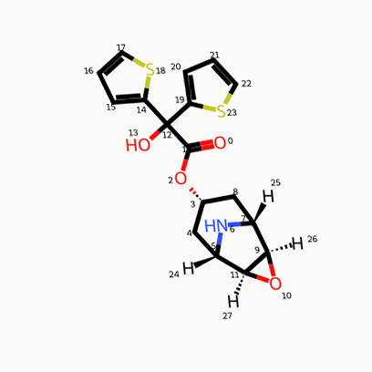 O=C(O[C@H]1C[C@@H]2N[C@H](C1)[C@H]1O[C@H]12)C(O)(c1cccs1)c1cccs1